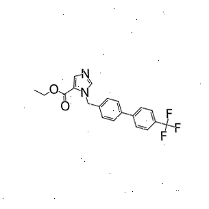 CCOC(=O)c1cncn1Cc1ccc(-c2ccc(C(F)(F)F)cc2)cc1